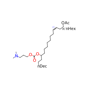 CCCCCCCCCCCCC(CCCCCCC/C=C\C[C@@H](CCCCCC)OC(C)=O)OC(=O)OCCCN(C)C